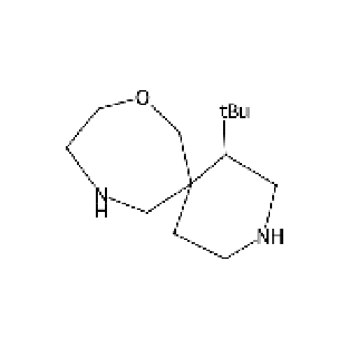 CC(C)(C)C1CNCCC12CNCCOC2